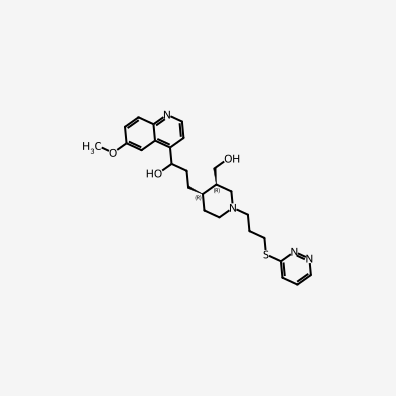 COc1ccc2nccc(C(O)CC[C@@H]3CCN(CCCSc4cccnn4)C[C@@H]3CO)c2c1